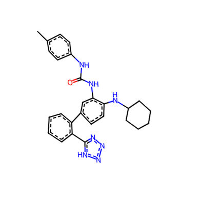 Cc1ccc(NC(=O)Nc2cc(-c3ccccc3-c3nnn[nH]3)ccc2NC2CCCCC2)cc1